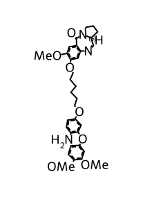 COc1ccc(Oc2cc(OCCCCCCOc3cc4c(cc3OC)C(=O)N3CCC[C@H]3C=N4)ccc2N)cc1OC